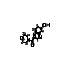 O=C(c1cnc2cc(O)ccc2n1)N1CCOCC1